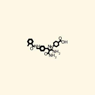 Cc1ccccc1C(=O)NCc1ccc(-c2nn(C3CCC(C(=O)O)CC3)c(N)c2C(N)=O)cc1